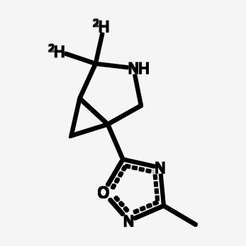 [2H]C1([2H])NCC2(c3nc(C)no3)CC12